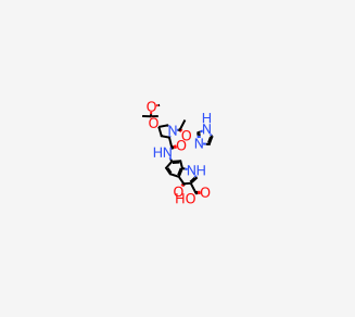 COC(C)(C)OC1CC(C(=O)Nc2ccc3c(=O)c(C(=O)O)c[nH]c3c2)N(C(C)=O)C1.c1c[nH]cn1